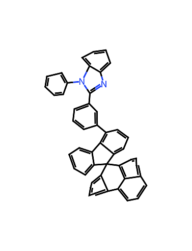 c1ccc(-n2c(-c3cccc(-c4cccc5c4-c4ccccc4C54c5ccccc5-c5cccc6cccc4c56)c3)nc3ccccc32)cc1